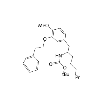 COc1ccc(CC(CCCC(C)C)NC(=O)OC(C)(C)C)cc1OCCc1ccccc1